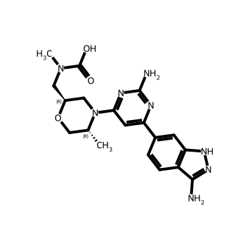 C[C@@H]1CO[C@@H](CN(C)C(=O)O)CN1c1cc(-c2ccc3c(N)n[nH]c3c2)nc(N)n1